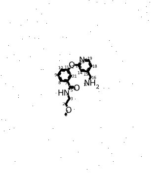 COCCNC(=O)c1cccc(Oc2cc(CN)ccn2)c1